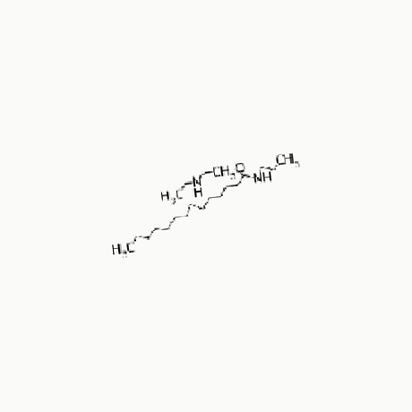 CCCCCCCCCCCCCC(=O)NCCC.CCNCC